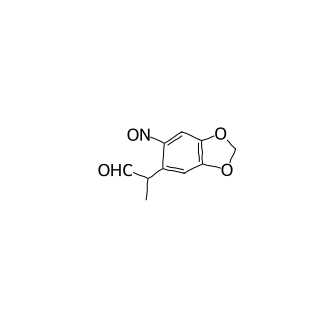 CC(C=O)c1cc2c(cc1N=O)OCO2